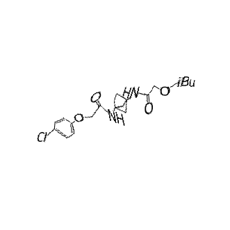 CCC(C)OCC(=O)NC12CC(NC(=O)COc3ccc(Cl)cc3)(C1)C2